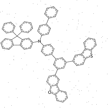 c1ccc(-c2ccc(N(c3ccc(-c4cc(-c5ccc6oc7ccccc7c6c5)cc(-c5ccc6sc7ccccc7c6c5)c4)cc3)c3ccc4c(c3)C(c3ccccc3)(c3ccccc3)c3ccccc3-4)cc2)cc1